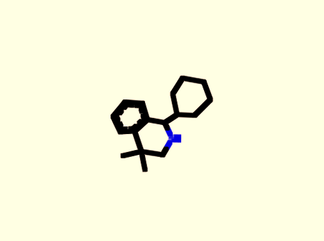 CC1(C)CNC(C2CCCCC2)c2ccccc21